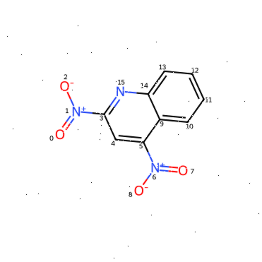 O=[N+]([O-])c1cc([N+](=O)[O-])c2ccccc2n1